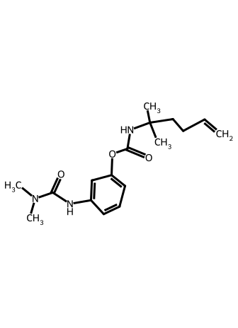 C=CCCC(C)(C)NC(=O)Oc1cccc(NC(=O)N(C)C)c1